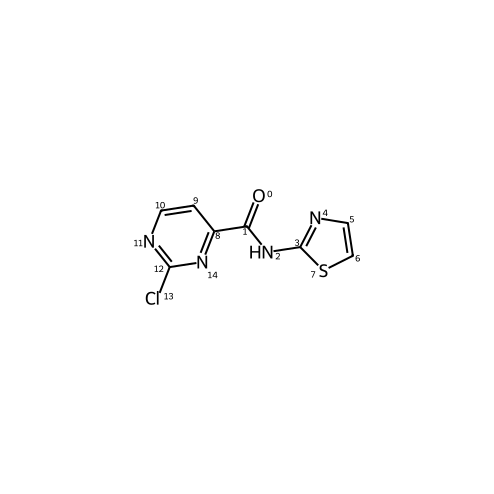 O=C(Nc1nccs1)c1ccnc(Cl)n1